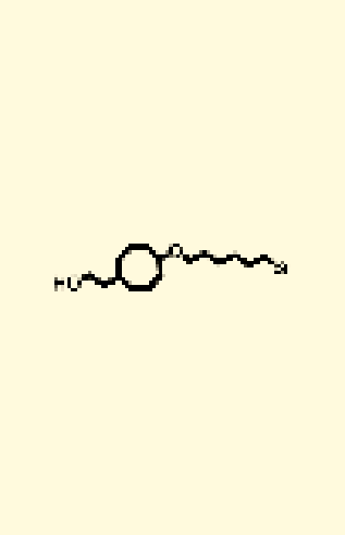 OCCC1CCCC(OCCCCCCBr)CCC1